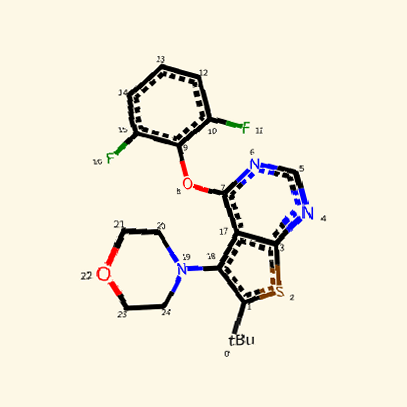 CC(C)(C)c1sc2ncnc(Oc3c(F)cccc3F)c2c1N1CCOCC1